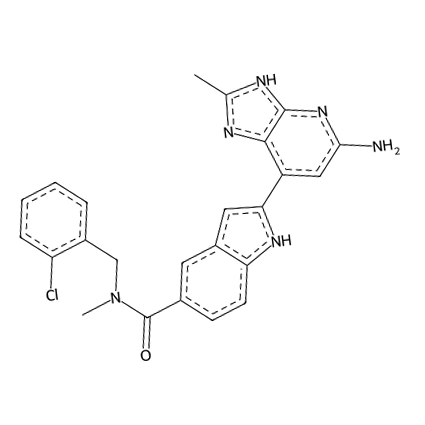 Cc1nc2c(-c3cc4cc(C(=O)N(C)Cc5ccccc5Cl)ccc4[nH]3)cc(N)nc2[nH]1